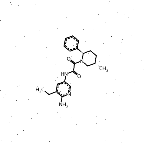 CCc1cc(NC(=O)C(=O)N2C[C@@H](C)CC[C@@H]2c2ccccc2)cnc1N